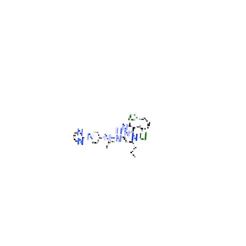 CCCc1cc(NCC(C)NC2CCN(c3ncccn3)CC2)n2nc(C)c(-c3c(Cl)cccc3Cl)c2n1